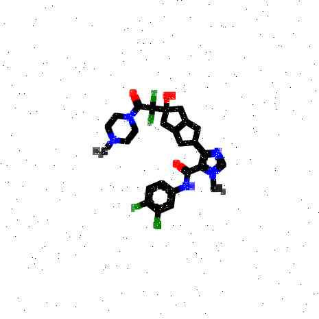 CN1CCN(C(=O)C(F)(F)C2(O)CC3CC(c4ncn(C)c4C(=O)Nc4ccc(F)c(Cl)c4)CC3C2)CC1